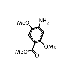 COC(=O)c1cc(OC)c(N)cc1OC